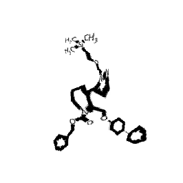 C[Si](C)(C)CCOCn1nccc1C1=CCCN(C(=O)OCc2ccccc2)C1CO[C@H]1CC[C@@H](c2ccccc2)CC1